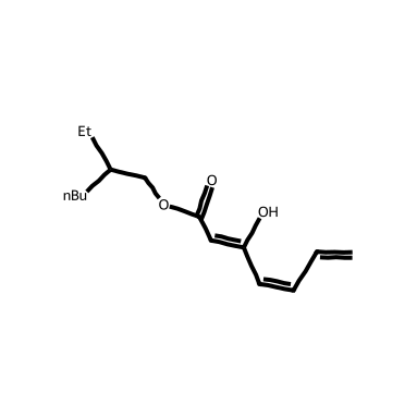 C=C/C=C\C(O)=C\C(=O)OCC(CC)CCCC